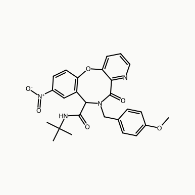 COc1ccc(CN2C(=O)c3ncccc3Oc3ccc([N+](=O)[O-])cc3C2C(=O)NC(C)(C)C)cc1